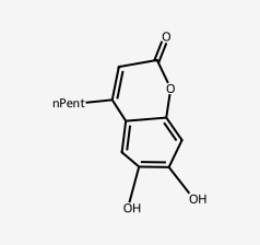 CCCCCc1cc(=O)oc2cc(O)c(O)cc12